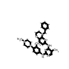 Cc1cc(Nc2ncc(C)c(Nc3ccc4c(n3)N(Cc3ccccc3)CCO4)n2)ccc1N1CCN(C)CC1